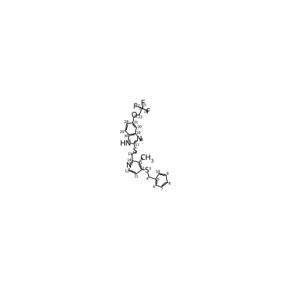 Cc1c(SCc2ccccc2)ccnc1CSc1nc2cc(OCC(F)(F)F)ccc2[nH]1